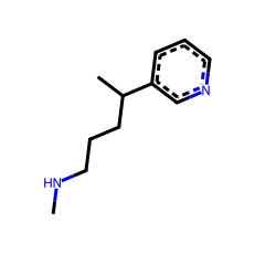 CNCCCC(C)c1cccnc1